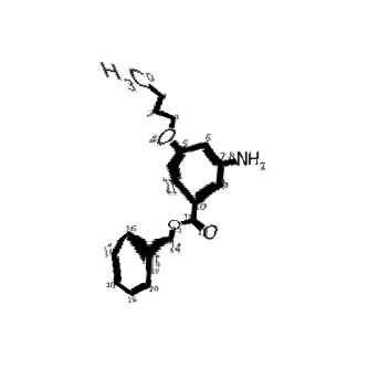 CCCCOc1cc(N)cc(C(=O)OCc2ccccc2)c1